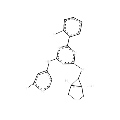 Fc1cc(Nc2nc(NC3[C@H]4COC[C@@H]34)nc(-c3ccccc3F)n2)ccn1